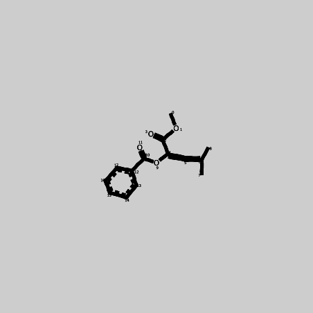 COC(=O)C(=C=C(C)C)OC(=O)c1ccccc1